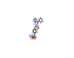 CN(CC(c1ccccc1)N1CCCC1)C(=O)Cc1ccc(CNS(C)(=O)=O)cc1